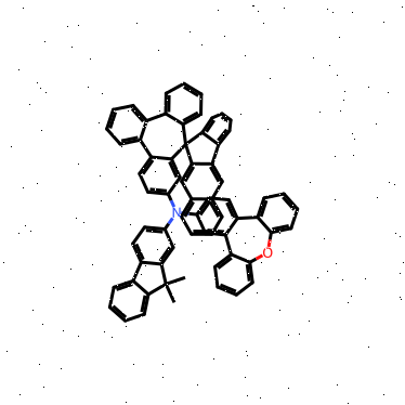 CC1(C)c2ccccc2-c2ccc(N(c3ccc4c(c3)-c3ccccc3Oc3ccccc3-4)c3ccc4c(c3)C3(c5ccccc5-c5ccccc5-4)c4ccccc4-c4cc5ccccc5cc43)cc21